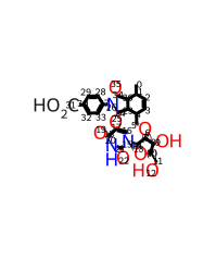 CC1C=CC(CO[C@H]2C(O)[C@@H](CO)O[C@H]2n2ccc(=O)[nH]c2=O)C2C(=O)N(c3ccc(C(=O)O)cc3)C(=O)C12